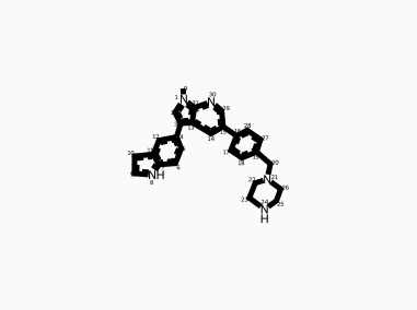 Cn1cc(-c2ccc3[nH]ccc3c2)c2cc(-c3ccc(CN4CCNCC4)cc3)cnc21